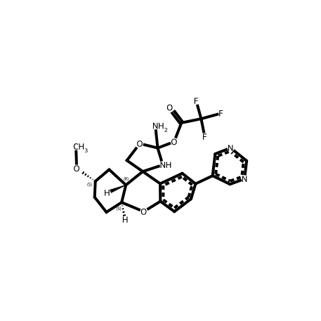 CO[C@H]1CC[C@@H]2Oc3ccc(-c4cncnc4)cc3C3(COC(N)(OC(=O)C(F)(F)F)N3)[C@H]2C1